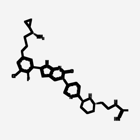 CC(=N)NCC[C@@H]1CCC[C@@H](c2ccc(-n3cc4cc(-c5cc(CCC[C@@H](N)C6CC6)cc(Cl)c5F)[nH]c4nc3=O)cn2)N1